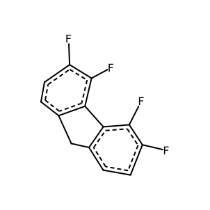 Fc1ccc2c(c1F)-c1c(ccc(F)c1F)C2